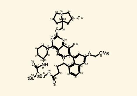 COCOc1cc(-c2ncc3c(N4CCC[C@@H](NC(=O)OC(C)(C)C)C4)nc(OC[C@@]45CCCN4C[C@H](F)C5)nc3c2F)c2c(CCCC(=O)OC(C)(C)C)cccc2c1